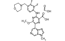 COc1nc(Nc2ccc(CN3CCOCC3)c(F)c2F)c(C(=O)O)nc1-c1cncc2c1ncn2C.O=CO